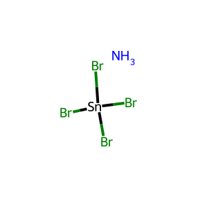 N.[Br][Sn]([Br])([Br])[Br]